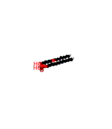 CCCCCCCCC/C=C/C=C/C=C/C=C/C=C/C(=O)O.CCCCCCCCC/C=C/C=C/C=C/C=C/C=C/C=C/C(=O)O